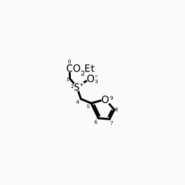 CCOC(=O)C[S+]([O-])Cc1ccco1